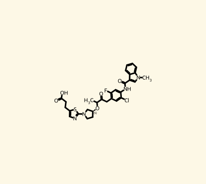 CC(O[C@H]1CCN(c2ncc(CCC(=O)O)s2)C1)C(=O)Cc1cc(Cl)c(NC(=O)c2cn(C)c3ccccc23)cc1F